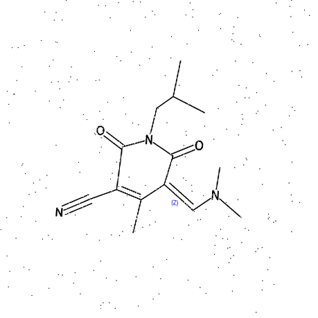 CC1=C(C#N)C(=O)N(CC(C)C)C(=O)/C1=C\N(C)C